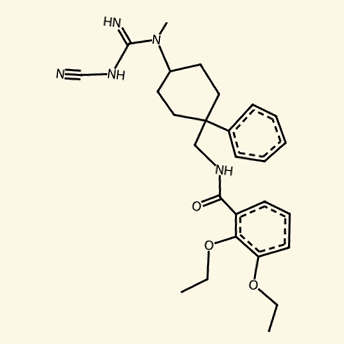 CCOc1cccc(C(=O)NCC2(c3ccccc3)CCC(N(C)C(=N)NC#N)CC2)c1OCC